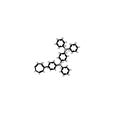 C1=CCC=CC(c2ccc(N(c3ccccc3)c3ccc(N(c4ccccc4)c4ccccc4)cc3)cc2)=C1